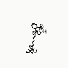 CCC(C)(C)C(=O)OCCCCCOC(=O)C1CCCCC1C(=O)O